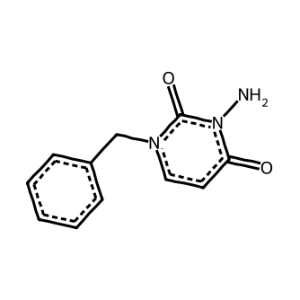 Nn1c(=O)ccn(Cc2ccccc2)c1=O